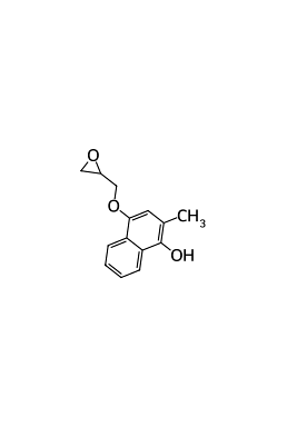 Cc1cc(OCC2CO2)c2ccccc2c1O